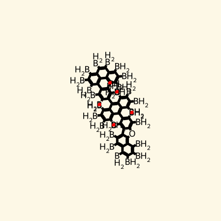 Bc1c(B)c(-c2c(B)c(B)c(B)c3c(B)c(B)c4c(B)c(B)c(B)c(B)c4c23)c(B)c(B)c1-c1c2c(B)c(B)c(B)c(B)c2c(-c2c(B)c(B)c3oc4c5c(B)c(B)c(B)c(B)c5c(B)c(B)c4c3c2B)c2c(B)c(B)c(B)c(B)c12